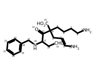 NC=CCC(CCCCN)(C(=O)O)C(=O)C(CC=O)NCc1ccccc1